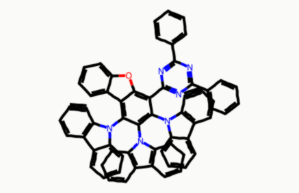 c1ccc2c3ccccc3n(-c3c(-n4c5c(c6c4CCC=C6)C=CCC5)c(-n4c5c#cccc5c5ccccc54)c4c(oc5ccccc54)c3-c3nc(-c4ccccc4)nc(-c4ccccc4)n3)c2c#1